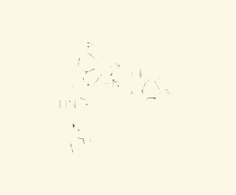 C=CC(=O)N1CC(NC(=O)Cn2cc(C(=O)NCCc3ccc(Cl)cc3Cl)c3cc(Br)ccc32)C1